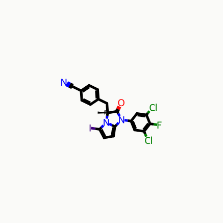 C[C@@]1(Cc2ccc(C#N)cc2)C(=O)N(c2cc(Cl)c(F)c(Cl)c2)c2ccc(I)n21